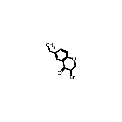 CCc1ccc2c(c1)C(=O)C(Br)CO2